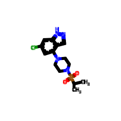 CC(C)S(=O)(=O)N1CCN(c2cc(Cl)cc3[nH]ncc23)CC1